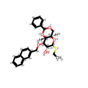 CCS[C@@H]1O[C@@H]2COC(c3ccccc3)O[C@H]2[C@H](OCc2ccc3ccccc3c2)[C@H]1O